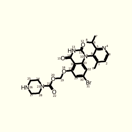 Cc1ccnc(C(C)C)c1-n1c(=O)[nH]c(=O)c2c(OCOC(=O)N3CCNCC3)cc(Br)cc21